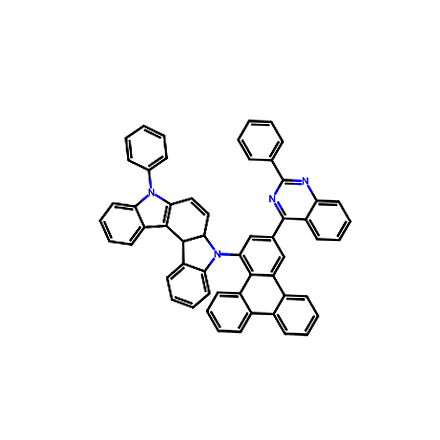 C1=CC2C(c3ccccc3N2c2cc(-c3nc(-c4ccccc4)nc4ccccc34)cc3c4ccccc4c4ccccc4c23)c2c1n(-c1ccccc1)c1ccccc21